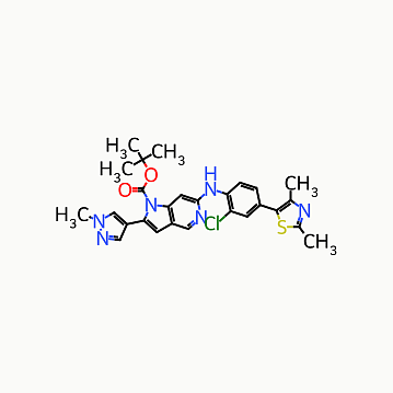 Cc1nc(C)c(-c2ccc(Nc3cc4c(cn3)cc(-c3cnn(C)c3)n4C(=O)OC(C)(C)C)c(Cl)c2)s1